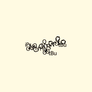 CC(C)N1C(=O)CC2(CCCN(C3CCN(C(=O)c4c(NC(=O)OC(C)(C)C)sc5nc(CO[Si](c6ccccc6)(c6ccccc6)C(C)(C)C)ccc45)CC3)C2)C1=O